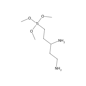 C[O][Ti]([CH2]CC(N)CCN)([O]C)[O]C